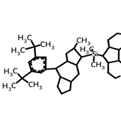 CC1CC2C(CC3CCCC3C2c2cc(C(C)(C)C)cc(C(C)(C)C)c2)C1[Si](C)(C)C1C2CCCCC2C2CCCCC21